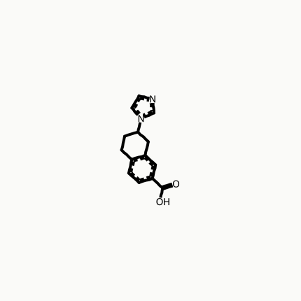 O=C(O)c1ccc2c(c1)CC(n1ccnc1)CC2